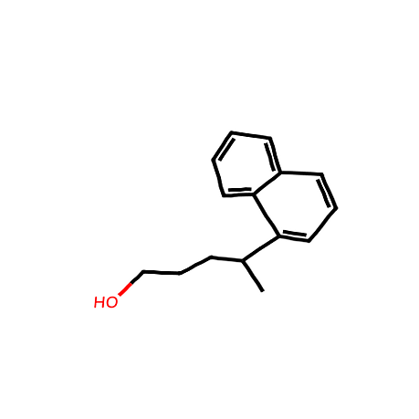 CC(CCCO)c1cccc2ccccc12